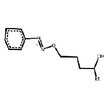 CCC(O)CCCO/N=N/c1ccccc1